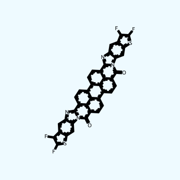 O=c1c2ccc3c4ccc5c(=O)n6c7cc8sc(F)c(F)c8cc7nc6c6ccc(c7ccc(c2c37)c2nc3cc7c(F)c(F)sc7cc3n12)c4c56